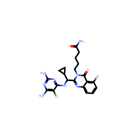 NC(=O)CCCCn1c(C(Nc2nc(N)nc(N)c2Cl)C2CC2)nc2cccc(Cl)c2c1=O